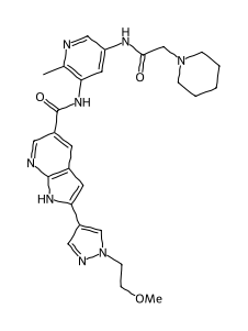 COCCn1cc(-c2cc3cc(C(=O)Nc4cc(NC(=O)CN5CCCCC5)cnc4C)cnc3[nH]2)cn1